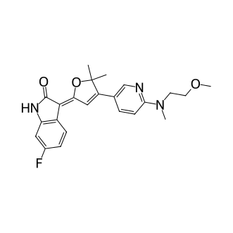 COCCN(C)c1ccc(C2=CC(=C3C(=O)Nc4cc(F)ccc43)OC2(C)C)cn1